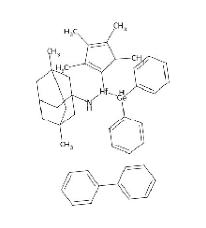 CC1=C(C)C(C)[C]([Hf]([NH]C23CC4CC(C)(CC(C)(C4)C2)C3)[GeH]([c]2ccccc2)[c]2ccccc2)=C1C.c1ccc(-c2ccccc2)cc1